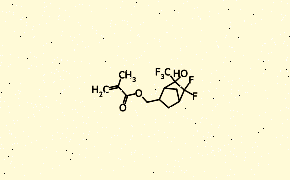 C=C(C)C(=O)OCC1CC2CC1C(O)(C(F)(F)F)C2(F)F